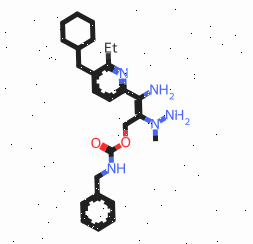 CCc1nc(/C(N)=C(\COC(=O)NCc2ccccc2)N(C)N)ccc1CC1CCCCC1